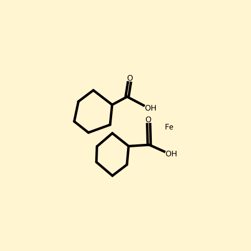 O=C(O)C1CCCCC1.O=C(O)C1CCCCC1.[Fe]